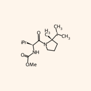 COC(=O)N[C@H](C(=O)N1CCC[C@@]1(C)I(C)C)C(C)C